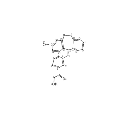 O=C(CO)c1cccc(C=C2c3ccccc3CCc3cc(Cl)ccc32)c1